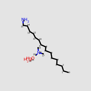 CCCCCCCCCCCCCCCCN.CN(C)C.O.O